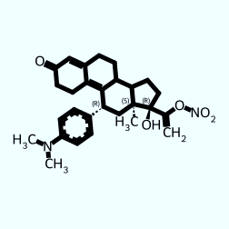 C=C(O[N+](=O)[O-])[C@@]1(O)CCC2C3CCC4=CC(=O)CCC4=C3[C@@H](c3ccc(N(C)C)cc3)C[C@@]21C